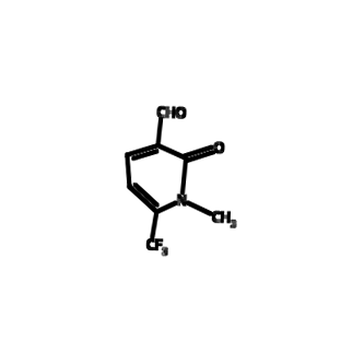 Cn1c(C(F)(F)F)ccc(C=O)c1=O